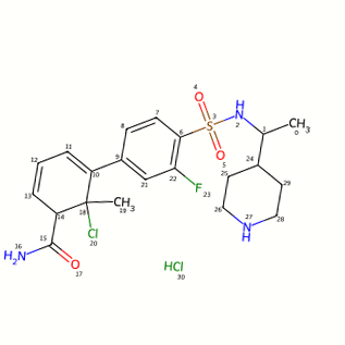 CC(NS(=O)(=O)c1ccc(C2=CC=CC(C(N)=O)C2(C)Cl)cc1F)C1CCNCC1.Cl